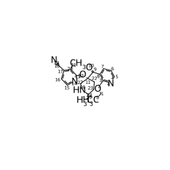 CCOc1ncccc1C(=O)[C@@]1(Oc2nccc(C#N)c2C)CC[C@@H](C)NC1